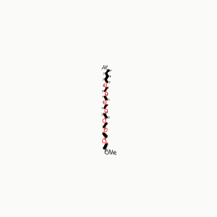 COCCOCCOCCOCCOCCOCCOCCOCCCCCC(C)=O